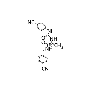 C[C@H](NC(=O)Nc1ccc(C#N)cc1)C(=O)NCc1ccc(C#N)cc1